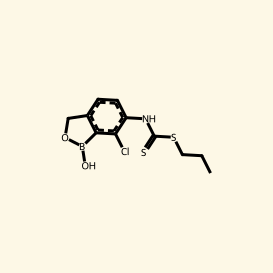 CCCSC(=S)Nc1ccc2c(c1Cl)B(O)OC2